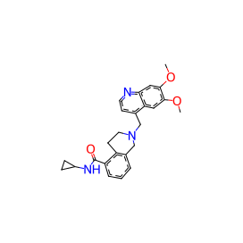 COc1cc2nccc(CN3CCc4c(cccc4C(=O)NC4CC4)C3)c2cc1OC